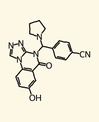 N#Cc1ccc(C(N2CCCC2)n2c(=O)c3cc(O)ccc3n3cnnc23)cc1